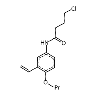 C=Cc1cc(NC(=O)CCCCl)ccc1OC(C)C